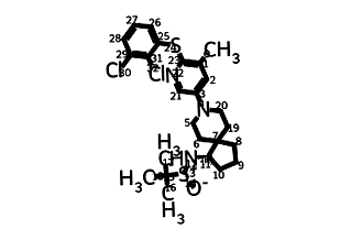 Cc1cc(N2CCC3(CCC[C@H]3N[S+]([O-])C(C)(C)C)CC2)cnc1Sc1cccc(Cl)c1Cl